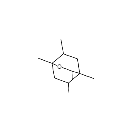 CC1CC2(C)C(C)CC1(C)OC2C